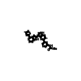 CCCCC(=O)Nc1cncc(-c2ccc3[nH]nc(-c4cc5c(-c6cccs6)nccc5[nH]4)c3n2)c1